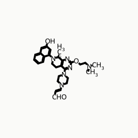 C[C@H]1c2nc(OCCN(C)C)nc(N3CCN(C=CC=O)CC3)c2CCN1c1cc(O)cc2ccccc12